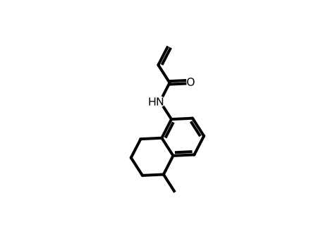 C=CC(=O)Nc1cccc2c1CCCC2C